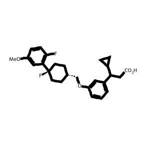 COc1ccc(F)c([C@]2(F)CC[C@H](COc3cccc(C(CC(=O)O)C4CC4)c3)CC2)c1